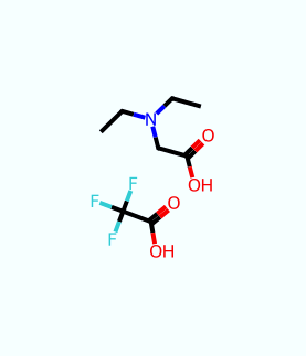 CCN(CC)CC(=O)O.O=C(O)C(F)(F)F